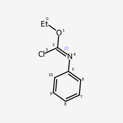 CCO/C(Cl)=N/c1ccccc1